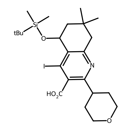 CC1(C)Cc2nc(C3CCOCC3)c(C(=O)O)c(I)c2C(O[Si](C)(C)C(C)(C)C)C1